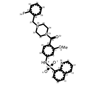 COc1cc(NS(=O)(=O)c2cccc3cccnc23)ccc1C(=O)N1CCN(Cc2ccccc2F)CC1